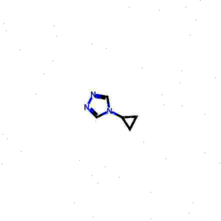 c1nncn1C1CC1